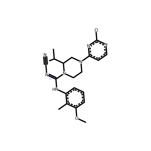 COc1cccc(N/C(=N/C#N)N2CCN(c3ccnc(Cl)n3)CC2C(C)C)c1C